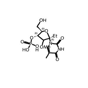 CC[C@@]1(n2cc(C)c(=O)[nH]c2=O)O[C@H](CO)[C@@H](OP(=O)(O)O)C1OC